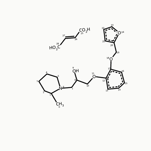 CC1CCCCN1CC(O)COc1ccccc1OCc1ccco1.O=C(O)C=CC(=O)O